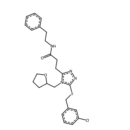 O=C(CCc1nnc(SCc2cccc(Cl)c2)n1CC1CCCO1)NCCc1ccccc1